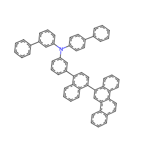 c1ccc(-c2ccc(N(c3cccc(-c4ccccc4)c3)c3cccc(-c4ccc(-c5cc6c7ccccc7ccc6c6ccccc56)c5ccccc45)c3)cc2)cc1